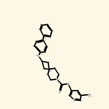 O=C(Oc1cncc(C(F)(F)F)c1)N1CCC2(CC1)CC(Oc1ccc(-c3ccccc3)cc1)C2